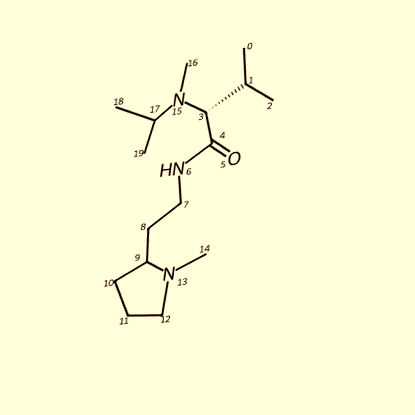 CC(C)[C@H](C(=O)NCCC1CCCN1C)N(C)C(C)C